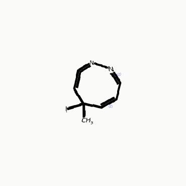 CC1(I)C=C=N/N=C\C=C/1